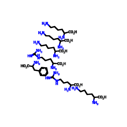 N=C(N)NCCCC(N)C(=O)O.N=C(N)NCCCC(N)C(=O)O.NC(Cc1ccccc1)C(=O)O.NCCCCC(N)C(=O)O.NCCCCC(N)C(=O)O.NCCCCC(N)C(=O)O.NCCCCC(N)C(=O)O